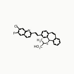 CC(SC1c2ccccc2C=Cc2ccc(C=Cc3ccc4cc(F)c(Cl)cc4n3)cc21)C(=O)O